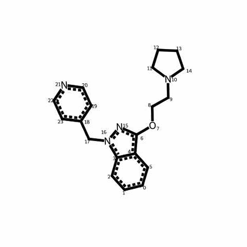 c1ccc2c(c1)c(OCCN1CCCC1)nn2Cc1ccncc1